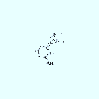 Cc1cncc(C2CN3CCC2C3)n1